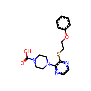 O=C(O)N1CCN(c2nccnc2SCCOc2ccccc2)CC1